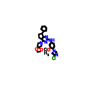 COc1cc(Nc2nc3c(c(N4CCC5(C4)OCCO5)n2)CCC3c2ccccc2)ccc1-n1cnc(Cl)c1